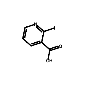 O=C(O)c1cccnc1I